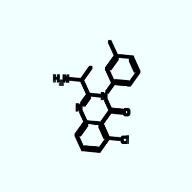 Cc1cccc(-n2c(C(C)N)nc3cccc(Cl)c3c2=O)c1